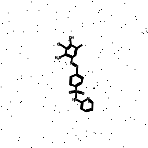 Cc1cc(/N=N/c2ccc(S(=O)(=O)Nc3ccccn3)cc2)c(N)c(Cl)c1O